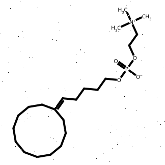 C[N+](C)(C)CCOP(=O)([O-])OCCCCC=C1CCCCCCCCCCC1